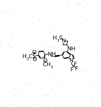 COc1cc(S(C)(=O)=O)ccc1NCC#Cc1cc(NC2CN(C)C2)c2ccn(CC(F)(F)F)c2c1